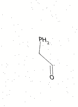 O=[C]CP